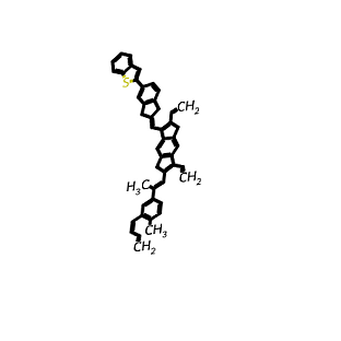 C=C/C=C\c1cc(/C(C)=C/C2=C(C=C)c3cc4c(cc3C2)C(/C=C2\Cc3ccc(-c5cc6ccccc6s5)cc3C2)=C(C=C)C4)ccc1C